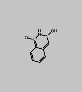 [O-][N+]1=c2ccccc2=CN(O)N1